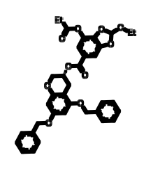 CCOC1Oc2cc(C(=O)O[C@H]3COc4cc(OCc5ccccc5)cc(OCc5ccccc5)c4C3)cc(OC(=O)CC)c2O1